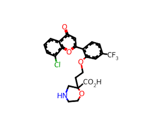 O=C(O)C1(CCOc2cc(C(F)(F)F)ccc2-c2cc(=O)c3cccc(Cl)c3o2)CNCCO1